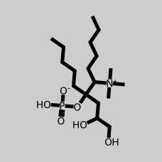 CCCCCC(C(CCCCC)(CC(O)CO)OP(=O)([O-])O)[N+](C)(C)C